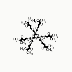 C=C(C)C(=O)CCOCN(COCCC(=O)C(=C)C)c1nc(N(COCCC(=O)C(=C)C)COCCC(=O)C(=C)C)nc(N(COCCC(=O)C(=C)C)COCCC(=O)C(=C)C)n1